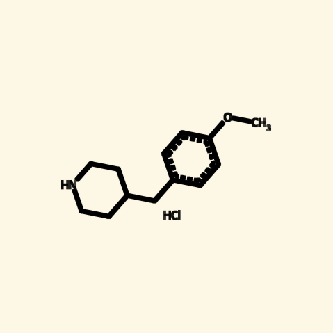 COc1ccc(CC2CCNCC2)cc1.Cl